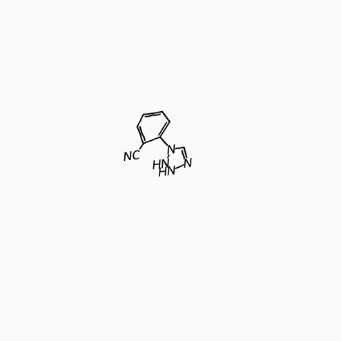 N#Cc1ccccc1N1C=NNN1